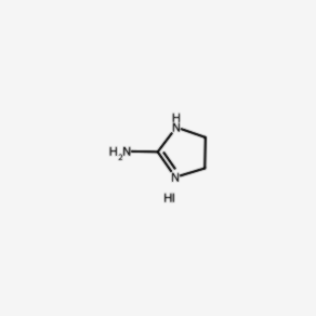 I.NC1=NCCN1